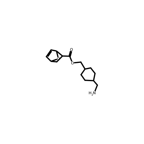 NCC1CCC(COC(=O)C2CC3C=CC2O3)CC1